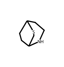 C1CC2CCC(CS2)N1